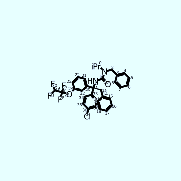 CC(C)N(Cc1ccccc1)C(=O)N[C@@](Cc1ccccc1)(c1cccc(OC(F)(F)C(F)F)c1)c1ccc(Cl)cn1